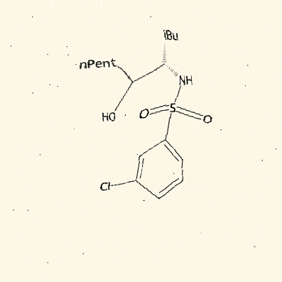 CCCCCC(O)[C@@H](NS(=O)(=O)c1cccc(Cl)c1)[C@@H](C)CC